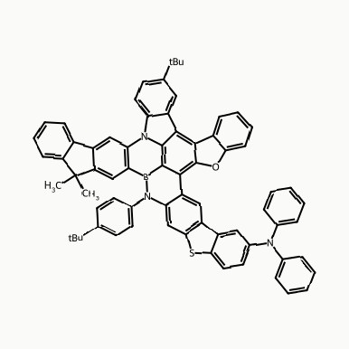 CC(C)(C)c1ccc(N2B3c4cc5c(cc4-n4c6ccc(C(C)(C)C)cc6c6c7c(oc8ccccc87)c(c3c64)-c3cc4c(cc32)sc2ccc(N(c3ccccc3)c3ccccc3)cc24)-c2ccccc2C5(C)C)cc1